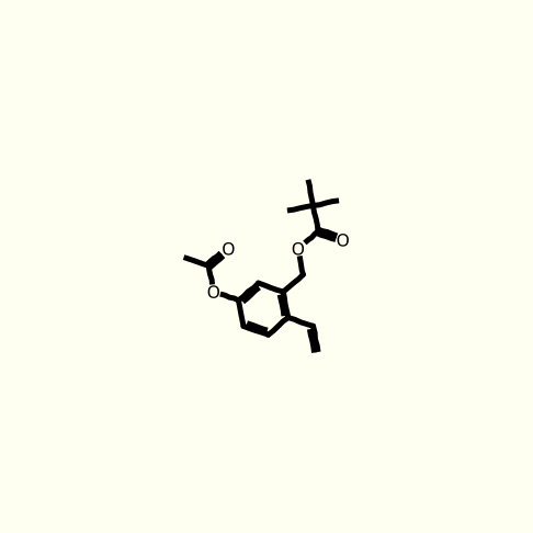 C=Cc1ccc(OC(C)=O)cc1COC(=O)C(C)(C)C